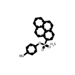 CC(C)(C)c1ccc(OS(=O)(=O)c2ccc3ccc4cccc5ccc2c3c45)cc1.S